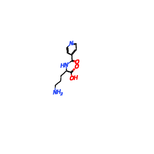 NCCCC(NC(=O)c1ccncc1)C(=O)O